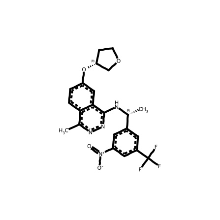 Cc1nnc(N[C@H](C)c2cc([N+](=O)[O-])cc(C(F)(F)F)c2)c2cc(O[C@@H]3CCOC3)ccc12